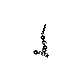 CCCCCCCOc1ccc(-c2cnc(-c3ccc(C[C@H](NC(=O)OCc4ccccc4)C(O)OC(C)(C)C)cc3)nc2)cc1